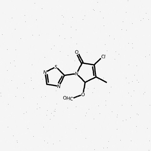 CC1=C(Cl)C(=O)N(c2ncns2)C1OC=O